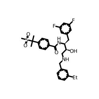 CCc1cccc(CNC[C@H](O)[C@H](Cc2cc(F)cc(F)c2)NC(=O)c2ccc(C(C)(C)S(C)(=O)=O)cc2)c1